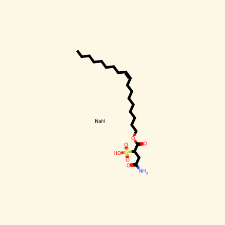 CCCCCCCC/C=C\CCCCCCCCOC(=O)C(CC(N)=O)S(=O)(=O)O.[NaH]